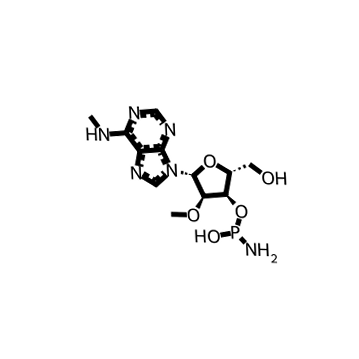 CNc1ncnc2c1ncn2[C@@H]1O[C@H](CO)[C@@H](OP(N)O)[C@H]1OC